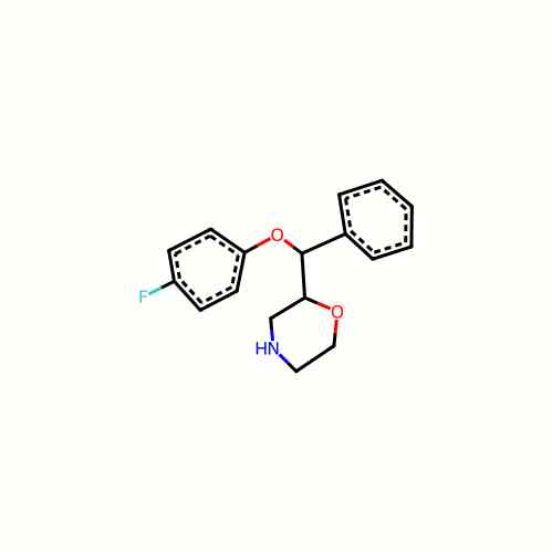 Fc1ccc(OC(c2ccccc2)C2CNCCO2)cc1